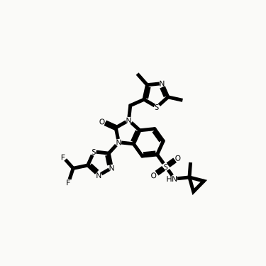 Cc1nc(C)c(Cn2c(=O)n(-c3nnc(C(F)F)s3)c3cc(S(=O)(=O)NC4(C)CC4)ccc32)s1